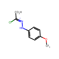 O=C(O)/C(Cl)=N/Nc1ccc(OC(F)(F)F)cc1